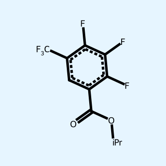 CC(C)OC(=O)c1cc(C(F)(F)F)c(F)c(F)c1F